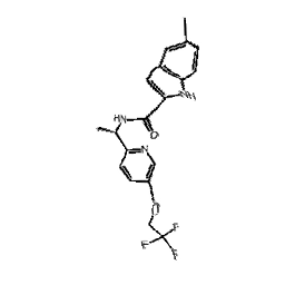 Cc1ccc2[nH]c(C(=O)N[C@H](C)c3ccc(OCC(F)(F)F)cn3)cc2c1